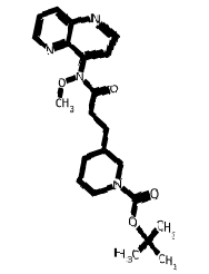 CON(C(=O)CCC1CCCN(C(=O)OC(C)(C)C)C1)c1ccnc2cccnc12